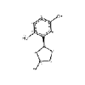 CN1CC[C@H](c2cc(Cl)ccc2O)C1